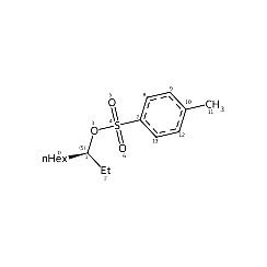 CCCCCC[C@H](CC)OS(=O)(=O)c1ccc(C)cc1